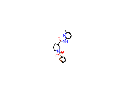 Cc1cccc(NC(=O)C2CCCN(S(=O)(=O)c3cccs3)C2)n1